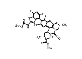 C[C@@H]1CN2C(=C=O)[C@H]3CN(C(=O)OC(C)(C)C)[C@H](C)CN3c3c2c(nc2c(F)c(-c4c(F)cc(F)c5sc(NC(=O)OC(C)(C)C)nc45)c(Cl)cc32)O1